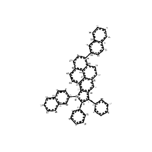 c1ccc(-c2c(-c3ccccc3)n(-c3ccc4ccccc4c3)c3c2cc2ccc4c(-c5ccc6ccccc6c5)ccc5ccc3c2c54)cc1